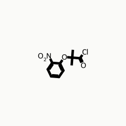 CC(C)(Oc1ccccc1[N+](=O)[O-])C(=O)Cl